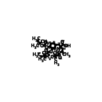 CCC(C)(C)OC(=O)Oc1ccc(CC(N)(C[C@H](C)OC(=O)C(C)(C)C)C(=O)O)cc1OC(=O)OC(C)(C)CC